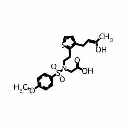 COc1ccc(S(=O)(=O)N(CCc2sccc2CC=C(C)O)CC(=O)O)cc1